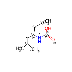 C#CC[C@H](CC(C)C)NC(=O)O